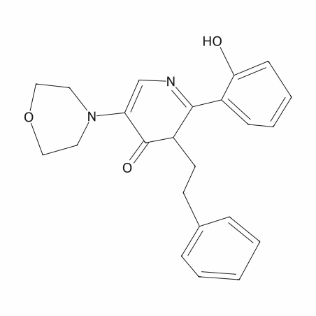 O=C1C(N2CCOCC2)=CN=C(c2ccccc2O)C1CCc1ccccc1